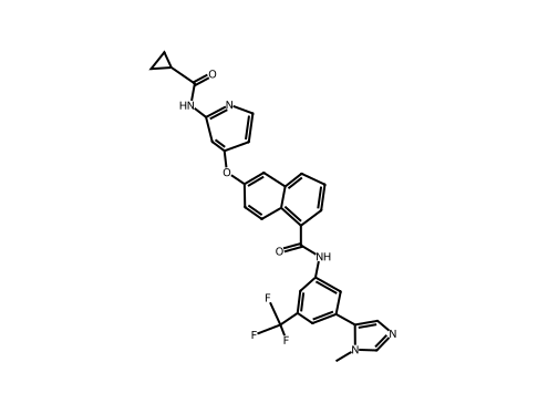 Cn1cncc1-c1cc(NC(=O)c2cccc3cc(Oc4ccnc(NC(=O)C5CC5)c4)ccc23)cc(C(F)(F)F)c1